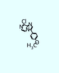 COc1ccc(-c2cnc3c(Cl)nccn23)cc1